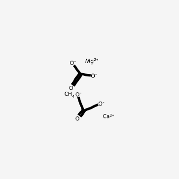 C.O=C([O-])[O-].O=C([O-])[O-].[Ca+2].[Mg+2]